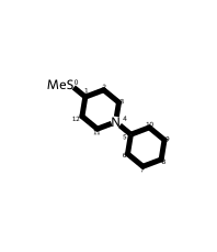 CSC1CCN(C2CCCCC2)CC1